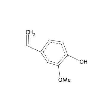 C=[C]c1ccc(O)c(OC)c1